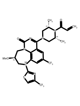 C=CC(=O)N1[C@H](C)CN(c2nc(=O)n3c4c(cc(C(F)(F)F)cc24)[SH](c2nc(C(F)(F)F)cs2)C[C@@H](OC)C3)C[C@@H]1C